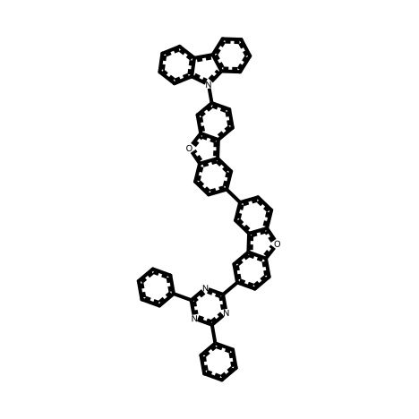 c1ccc(-c2nc(-c3ccccc3)nc(-c3ccc4oc5ccc(-c6ccc7oc8cc(-n9c%10ccccc%10c%10ccccc%109)ccc8c7c6)cc5c4c3)n2)cc1